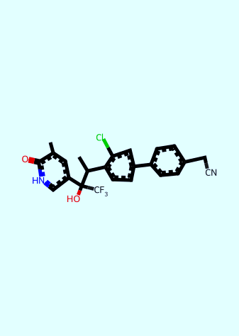 Cc1cc(C(O)(C(C)c2ccc(-c3ccc(CC#N)cc3)cc2Cl)C(F)(F)F)c[nH]c1=O